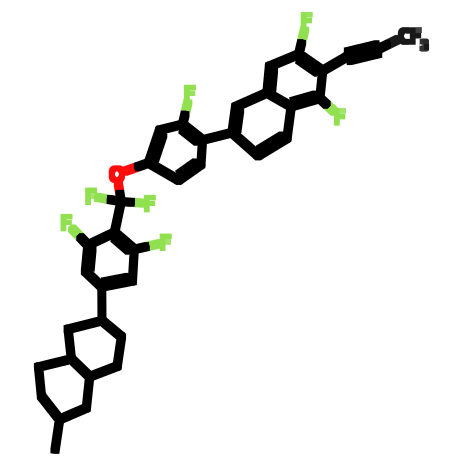 CC1CCC2CC(c3cc(F)c(C(F)(F)Oc4ccc(-c5ccc6c(F)c(C#CC(F)(F)F)c(F)cc6c5)c(F)c4)c(F)c3)CCC2C1